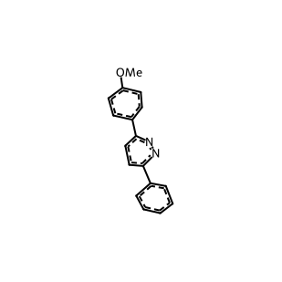 COc1ccc(-c2ccc(-c3ccccc3)nn2)cc1